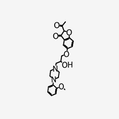 COc1ccccc1N1CCN(CC(O)COc2ccc3c(c2)C(=O)C(C(C)=O)O3)CC1